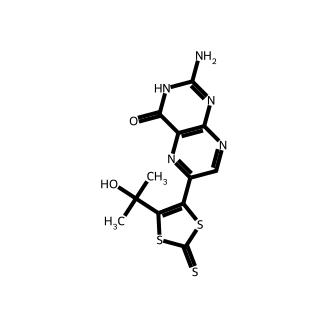 CC(C)(O)c1sc(=S)sc1-c1cnc2nc(N)[nH]c(=O)c2n1